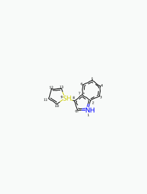 [c]1[nH]c2ccccc2c1[SH]1C=CC=C1